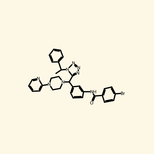 CC(c1ccccc1)n1nnnc1C(c1cccc(NC(=O)c2ccc(Br)cc2)c1)N1CCN(c2ccccn2)CC1